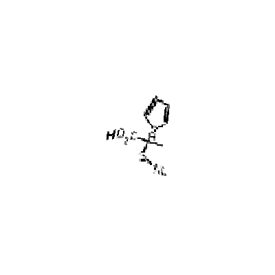 CC(=O)SC(C)(C(=O)O)[SH]1C=CC=C1